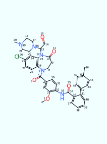 COc1cc(C(=O)N2CCC(=O)N(C(C=O)N3CCN(C)CC3)c3cc(Cl)ccc32)ccc1NC(=O)c1ccccc1-c1ccc(C)cc1